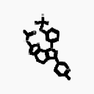 CC(=O)Nc1nc2c(s1)-c1c(c(-c3ccc(C)nc3)nn1-c1cccc(OC(F)(F)F)c1)CC2